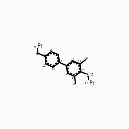 Cc1cc(-c2ccc(CC(C)C)cc2)cc(C)c1SC(C)C